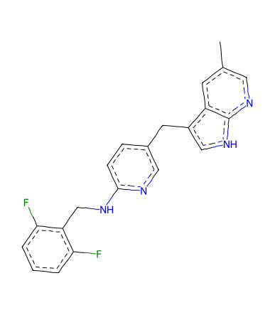 Cc1cnc2[nH]cc(Cc3ccc(NCc4c(F)cccc4F)nc3)c2c1